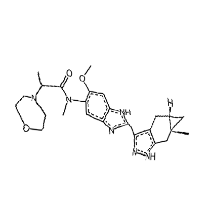 COc1cc2[nH]c(-c3n[nH]c4c3C[C@@H]3C[C@]3(C)C4)nc2cc1N(C)C(=O)C(C)N1CCOCC1